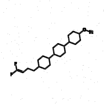 CCOC1CCC(C2CCC(C3CCC(CCC=C(F)F)CC3)CC2)CC1